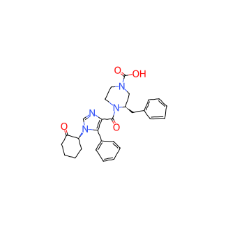 O=C1CCCC[C@@H]1n1cnc(C(=O)N2CCN(C(=O)O)C[C@H]2Cc2ccccc2)c1-c1ccccc1